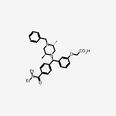 CCN(CC)C(=O)c1ccc([C@H](c2cccc(OCC(=O)O)c2)N2C[C@@H](C)N(Cc3ccccc3)C[C@@H]2C)cc1